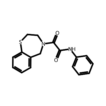 O=C(Nc1ccccc1)C(=O)N1CCSc2ccccc2C1